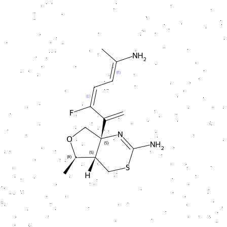 C=C(/C(F)=C\C=C(/C)N)[C@]12CO[C@H](C)[C@H]1CSC(N)=N2